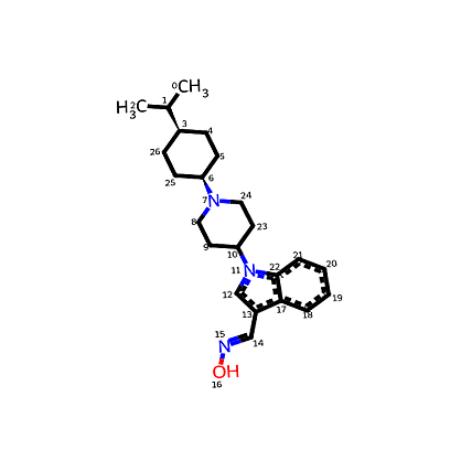 CC(C)[C@H]1CC[C@@H](N2CCC(n3cc(/C=N/O)c4ccccc43)CC2)CC1